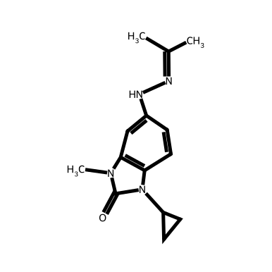 CC(C)=NNc1ccc2c(c1)n(C)c(=O)n2C1CC1